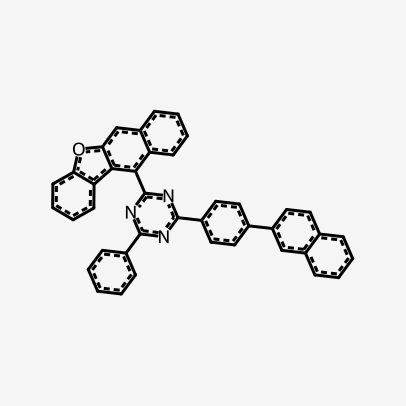 c1ccc(-c2nc(-c3ccc(-c4ccc5ccccc5c4)cc3)nc(-c3c4ccccc4cc4oc5ccccc5c34)n2)cc1